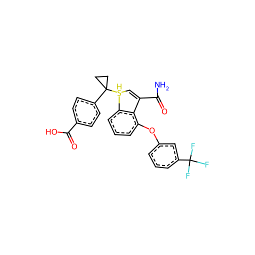 NC(=O)C1=C[SH](C2(c3ccc(C(=O)O)cc3)CC2)c2cccc(Oc3cccc(C(F)(F)F)c3)c21